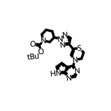 CC(C)(C)OC(=O)N1CCCC(n2ncc(C3=CN(c4ncnc5[nH]ccc45)CCS3)n2)C1